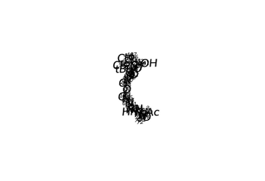 CC(=O)c1c(C)c2cnc(Nc3ccc(N4CCN(C(=O)CCOCCC(=O)N5CCN(S(=O)(=O)C[C@@H](N6C(=O)[C@]7(C=C(O)C7)C[C@H](c7cccc(Cl)c7)[C@H]6c6ccc(Cl)cc6)C(C)(C)C)CC5)CC4)cn3)nc2n(C2CCCC2)c1=O